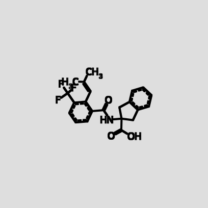 CC(C)=Cc1c(C(=O)NC2(C(=O)O)Cc3ccccc3C2)cccc1C(F)(F)F